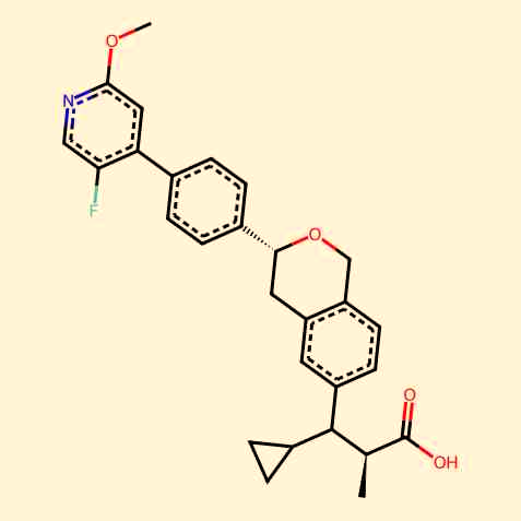 COc1cc(-c2ccc([C@H]3Cc4cc(C(C5CC5)[C@H](C)C(=O)O)ccc4CO3)cc2)c(F)cn1